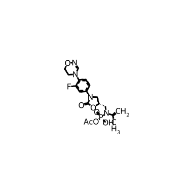 C=C(C)N(C[C@H]1CN(c2ccc(N3C=NOCC3)c(F)c2)C(=O)O1)P(=O)(O)OC(C)=O